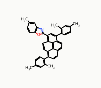 Cc1ccc(-c2ccc3ccc4c(-c5ccc(C)cc5C)cc(-c5nc6cc(C)ccc6o5)c5ccc2c3c54)c(C)c1